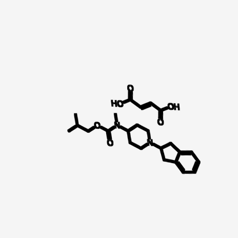 CC(C)COC(=O)N(C)C1CCN(C2Cc3ccccc3C2)CC1.O=C(O)C=CC(=O)O